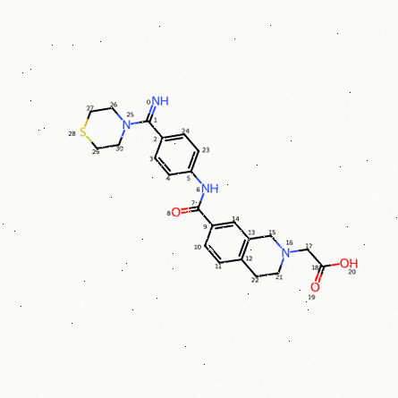 N=C(c1ccc(NC(=O)c2ccc3c(c2)CN(CC(=O)O)CC3)cc1)N1CCSCC1